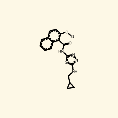 CCOc1ccc2ccccc2c1C(=O)Nc1nnc(NCC2CC2)s1